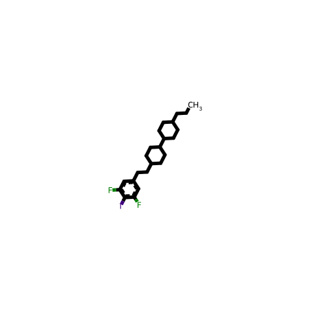 CCCC1CCC(C2CCC(CCc3cc(F)c(I)c(F)c3)CC2)CC1